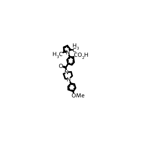 COc1ccc(N2CCN(C(=O)c3ccc(C(=O)O)c(-n4c(C)ccc4C)c3)CC2)cc1